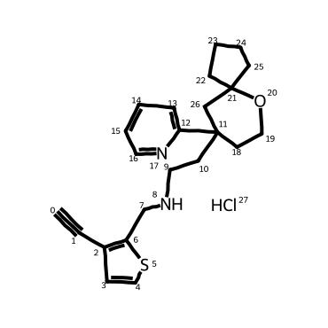 C#Cc1ccsc1CNCCC1(c2ccccn2)CCOC2(CCCC2)C1.Cl